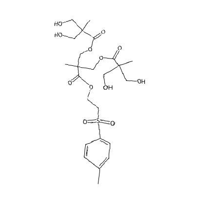 Cc1ccc(S(=O)(=O)CCOC(=O)C(C)(COC(=O)C(C)(CO)CO)COC(=O)C(C)(CO)CO)cc1